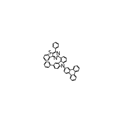 c1ccc(-c2ccc3c(c2)c2c(-c4nc(-c5ccccc5)c5sc6ccccc6c5n4)cccc2n3-c2ccc3c4ccccc4c4ccccc4c3c2)cc1